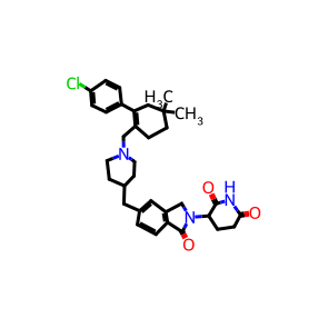 CC1(C)CCC(CN2CCC(Cc3ccc4c(c3)CN(C3CCC(=O)NC3=O)C4=O)CC2)=C(c2ccc(Cl)cc2)C1